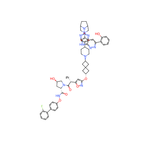 CC(C)[C@@H](C(=O)N1C[C@H](O)C[C@H]1C(=O)NOc1ccc(-c2ccccc2F)cc1)c1cc(O[C@H]2CC3(C2)C[C@H](N2CCC(c4cnc(N5C6CCC5CN(c5c[nH]c7nnc(-c8ccccc8O)cc57)C6)nc4)CC2)C3)no1